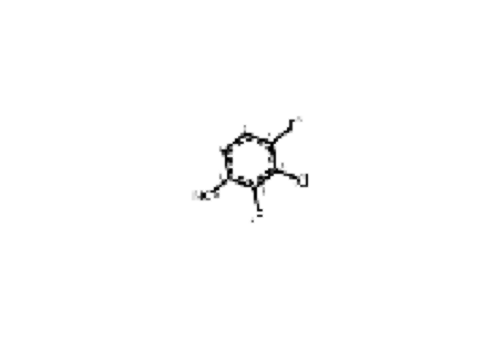 N#Cc1ccc(F)c(Cl)c1F